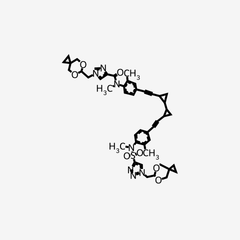 Cc1cc(C#CC2CC2C2CC2C#Cc2ccc(N(C)S(=O)(=O)c3cn(CC4OCC5(CC5)CO4)nn3)c(C)c2)ccc1N(C)C(=O)c1cn(CC2OCC3(CC3)CO2)cn1